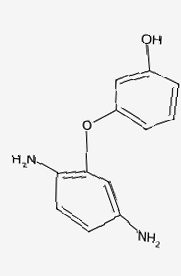 Nc1ccc(N)c(Oc2cccc(O)c2)c1